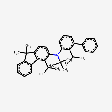 CC(C)c1c(-c2ccccc2)cccc1N(c1ccc2c(c1C(C)C)-c1ccccc1C2(C)C)C(C)(C)C